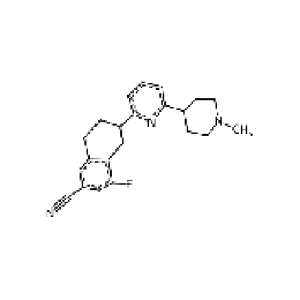 CN1CCC(c2cccc(C3CCc4cc(C#N)cc(F)c4C3)n2)CC1